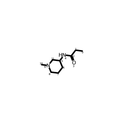 CCC(=O)NC1CCCN(C)C1